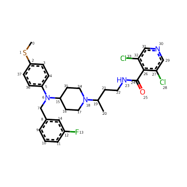 CSc1ccc(N(Cc2cccc(F)c2)C2CCN(C(C)CCNC(=O)c3c(Cl)cncc3Cl)CC2)cc1